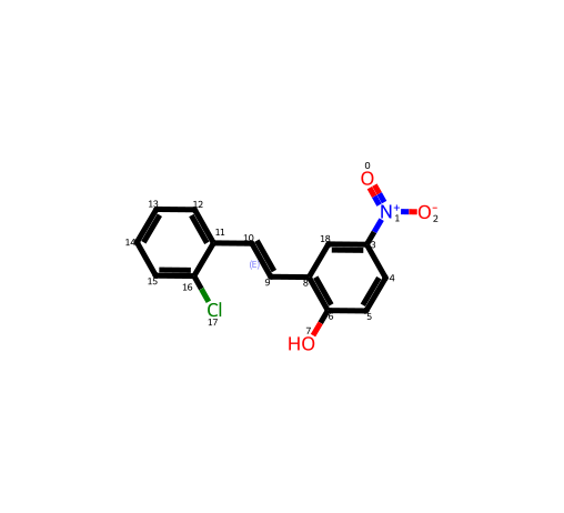 O=[N+]([O-])c1ccc(O)c(/C=C/c2ccccc2Cl)c1